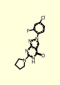 O=c1[nH]c(N2CCCC2)nc2nn(-c3ccc(Cl)cc3F)cc12